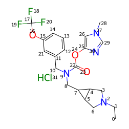 CCN1CC2C(C1)C2CN(Cc1cccc(OC(F)(F)F)c1)C(=O)Oc1cn(C)cn1.Cl